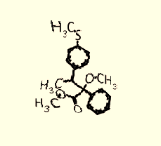 COC(=O)C(OC)(c1ccccc1)C(C)c1ccc(SC)cc1